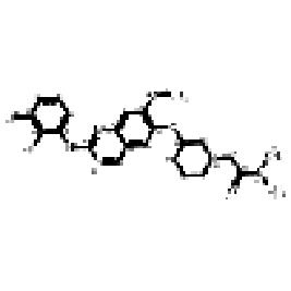 COc1cc2nc(Nc3cccc(Cl)c3F)ncc2cc1OC1CCCN(CC(=O)N(C)C)C1